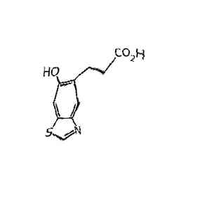 O=C(O)CCc1cc2ncsc2cc1O